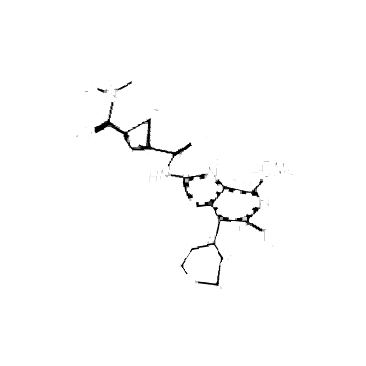 CCN(C)C(=O)C12CC(C(=O)Nc3nc4c(OC)nc(F)c(C5CCOCC5)c4s3)(C1)C2